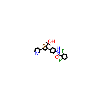 CC(C)(O)c1sc(-c2cccnc2)cc1-c1ccc(NC(=O)c2c(F)cccc2F)cc1